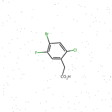 O=C(O)Cc1cc(F)c(Br)cc1Cl